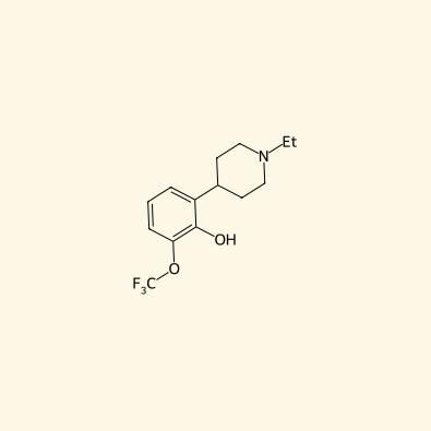 CCN1CCC(c2cccc(OC(F)(F)F)c2O)CC1